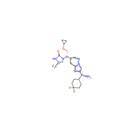 N[C@H](c1cn2ncc([C@@H](COC3CC3)N3C[C@@H](C(F)(F)F)NC3=O)cc2n1)C1CCC(F)(F)CC1